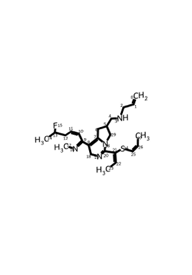 C=CCNCC1CC2=C(C(/C=C\CC(C)F)=N/C)CN=C(/C(=C\C)S/C=C\C)N2C1